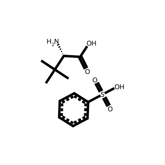 CC(C)(C)[C@H](N)C(=O)O.O=S(=O)(O)c1ccccc1